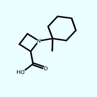 CC1(N2CCC2C(=O)O)CCCCC1